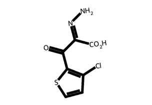 N/N=C(\C(=O)O)C(=O)c1sccc1Cl